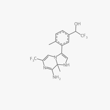 Cc1ccc(C(O)C(F)(F)F)cc1C1=CNC2(C)C(N)=NC(C(F)(F)F)=CN12